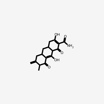 C=C1CC2CC3CC(O)=C(C(N)=O)C(=O)C3C(O)=C2C(=O)C1C